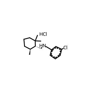 C[C@H]1CCCC(C)(C)[C@@H]1CNc1cccc(Cl)c1.Cl